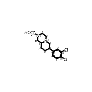 O=C(O)N1CCN2CC(c3ccc(Cl)c(Cl)c3)CCC2C1